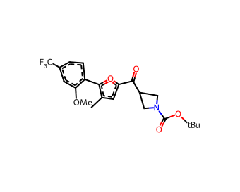 COc1cc(C(F)(F)F)ccc1-c1oc(C(=O)C2CN(C(=O)OC(C)(C)C)C2)cc1C